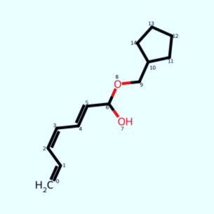 C=C/C=C\C=C\C(O)OCC1CCCC1